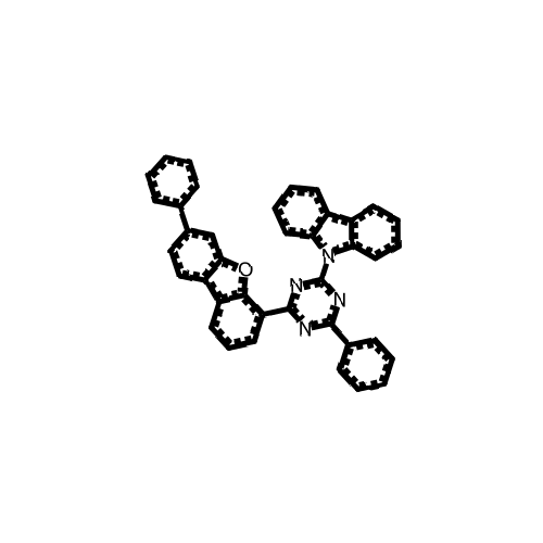 c1ccc(-c2ccc3c(c2)oc2c(-c4nc(-c5ccccc5)nc(-n5c6ccccc6c6ccccc65)n4)cccc23)cc1